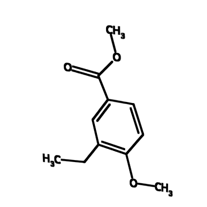 CCc1cc(C(=O)OC)ccc1OC